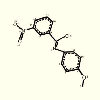 COc1ccc(N=C(Cl)c2cccc([N+](=O)[O-])c2)cc1